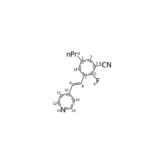 CCCc1cc(C#N)c(F)c(C=Cc2ccncc2)c1